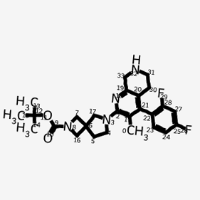 Cc1c(N2CCC3(CN(C(=O)OC(C)(C)C)C3)C2)nc2c(c1-c1ccc(F)cc1F)CCNC2